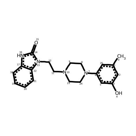 Cc1cc(O)cc(N2CCN(CCn3c(=O)[nH]c4ccccc43)CC2)c1